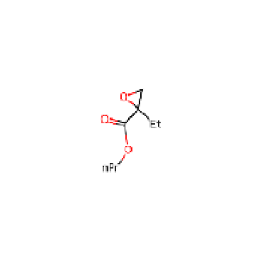 CCCOC(=O)C1(CC)CO1